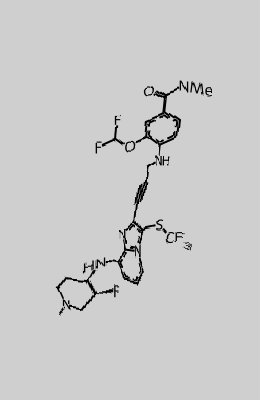 CNC(=O)c1ccc(NCC#Cc2nc3c(N[C@@H]4CCN(C)C[C@@H]4F)cccn3c2SC(F)(F)F)c(OC(F)F)c1